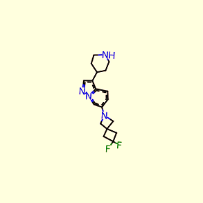 FC1(F)CC2(CN(c3ccc4c(C5CCNCC5)cnn4c3)C2)C1